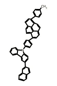 Cc1ccc(-c2ccc3ccc4c(-c5ccc(-n6c7ccccc7c7cc(-c8ccc9ccccc9c8)ccc76)cc5)ccc5ccc2c3c54)cc1